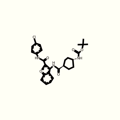 CC(C)(C)OC(=O)N[C@H]1CC[C@H](C(=O)Nc2c(C(=O)Nc3ccc(Cl)cc3)oc3ccccc23)CC1